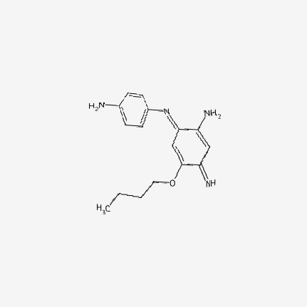 CCCCOC1=CC(=Nc2ccc(N)cc2)C(N)=CC1=N